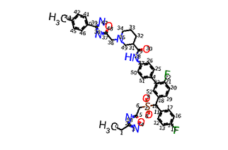 CCc1noc(CS(=O)(=O)C(c2ccc(F)cc2)c2ccc(F)c(-c3ccc(NC(=O)C4CCCN(Cc5nc(-c6ccc(C)cc6)no5)C4)cc3)c2)n1